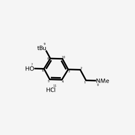 CNCCc1ccc(O)c(C(C)(C)C)c1.Cl